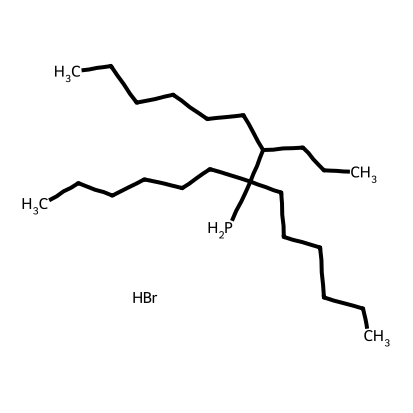 Br.CCCCCCC(CCC)C(P)(CCCCCC)CCCCCC